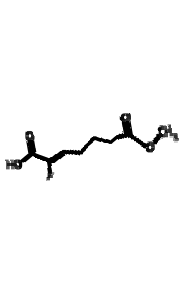 COC(=O)CCCC=C(F)C(=O)O